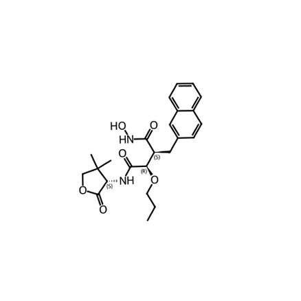 CCCO[C@@H](C(=O)N[C@@H]1C(=O)OCC1(C)C)[C@H](Cc1ccc2ccccc2c1)C(=O)NO